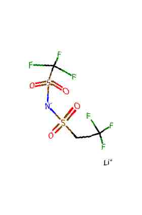 O=S(=O)(CC(F)(F)F)[N-]S(=O)(=O)C(F)(F)F.[Li+]